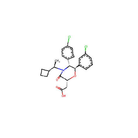 C[C@H](C1CCC1)N1C(=O)[C@@H](CC(=O)O)O[C@H](c2cccc(Cl)c2)[C@H]1c1ccc(Cl)cc1